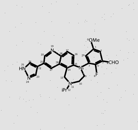 COc1cc(C=O)c(F)c(N2CCN(C(C)C)Cc3c2ccc2ncc(-c4cn[nH]c4)cc32)c1